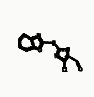 O=Cc1sc(Sc2nc3ccccc3o2)nc1Cl